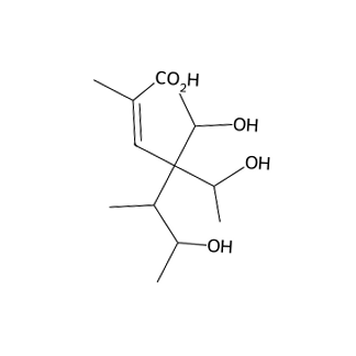 CC(=CC(C(C)O)(C(C)O)C(C)C(C)O)C(=O)O